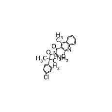 Cc1nc2ccccc2c(C)c1C(=O)N(N)C(=O)C(C)(C)c1ccc(Cl)cc1